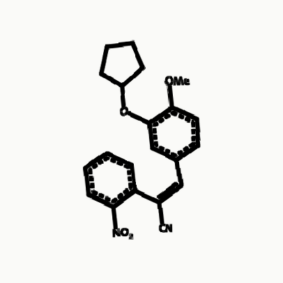 COc1ccc(C=C(C#N)c2ccccc2[N+](=O)[O-])cc1OC1CCCC1